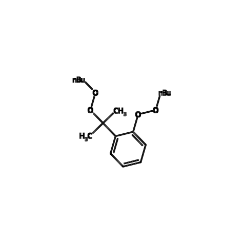 CCCCOOc1ccccc1C(C)(C)OOCCCC